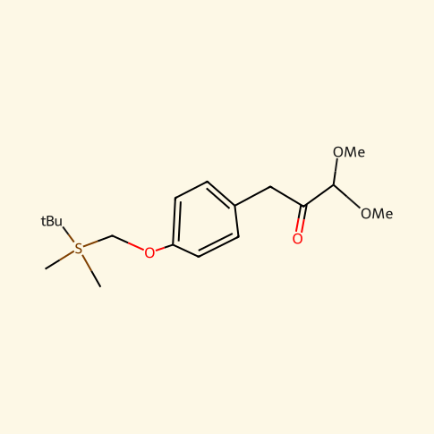 COC(OC)C(=O)Cc1ccc(OCS(C)(C)C(C)(C)C)cc1